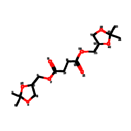 CC1(C)OCC(COC(=O)CCC(=O)OCC2COC(C)(C)O2)O1